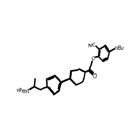 CCCCCC(C)Cc1ccc(C2CCC(C(=O)Oc3ccc(CCCC)cc3C#N)CC2)cc1